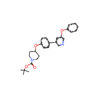 CC(C)(C)OC(=O)N1CCC(Oc2ccc(-c3cncc(Oc4ccccc4)c3)cc2)CC1